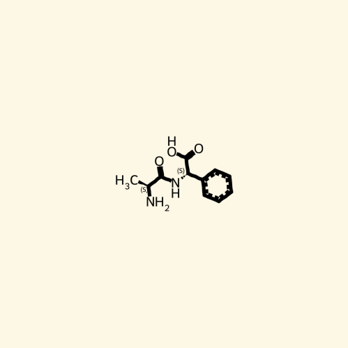 C[C@H](N)C(=O)N[C@H](C(=O)O)c1ccccc1